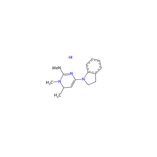 CNC1=NC(N2CCc3ccccc32)=CC(C)N1C.I